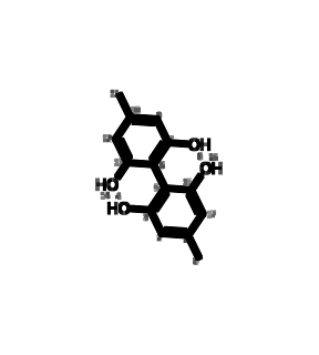 Cc1cc(O)c(-c2c(O)cc(C)cc2O)c(O)c1